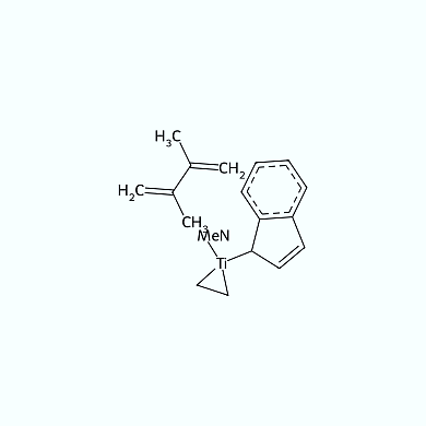 C=C(C)C(=C)C.C[NH][Ti]1([CH]2C=Cc3ccccc32)[CH2][CH2]1